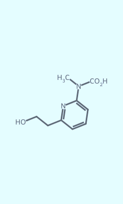 CN(C(=O)O)c1cccc(CCO)n1